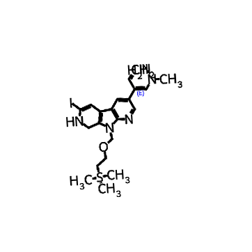 C=C/C(=C\N(C)N)c1cnc2c(c1)c1c(n2COCCS(C)(C)C)CNC(I)=C1